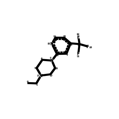 CCN1CCN(c2cc(C(F)(F)F)ccn2)CC1